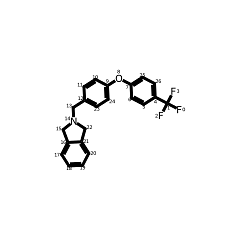 FC(F)(F)c1ccc(Oc2ccc(CN3Cc4ccccc4C3)cc2)cc1